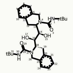 CC(C)(C)NC(=O)N1Cc2ccccc2CC1[C@@H](O)[C@H](O)[C@@H]1Cc2ccccc2CN1C(=O)NC(C)(C)C